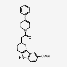 COc1ccc2[nH]c3c(c2c1)CC(CC(=O)N1CC=C(c2ccccc2)CC1)CC3